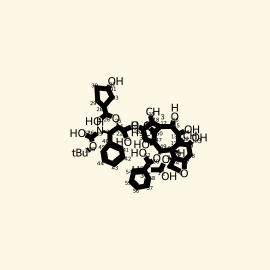 CC(O)O[C@]12COC1CC(O)C1(C)C(O)C(O)C3C(C)C(OC(O)[C@@H](OC(O)C4CCC(O)C4)[C@H](NC(O)OC(C)(C)C)c4ccccc4)CC(O)([C@H](OC(O)c4ccccc4)[C@H]12)C3(C)C